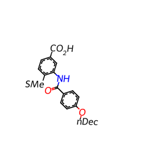 CCCCCCCCCCOc1ccc(C(=O)Nc2cc(C(=O)O)ccc2SC)cc1